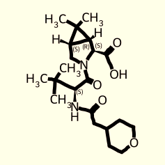 CC(C)(C)[C@H](NC(=O)CC1CCOCC1)C(=O)N1C[C@H]2[C@@H]([C@H]1C(=O)O)C2(C)C